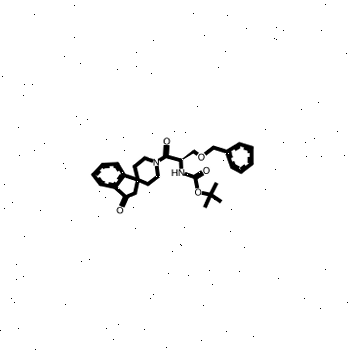 CC(C)(C)OC(=O)N[C@H](COCc1ccccc1)C(=O)N1CCC2(CC1)CC(=O)c1ccccc12